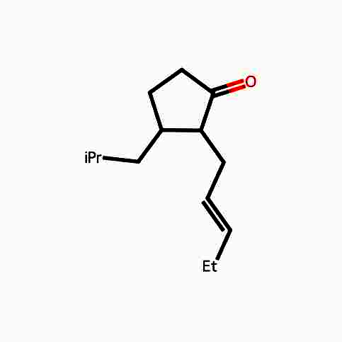 CCC=CCC1C(=O)CCC1CC(C)C